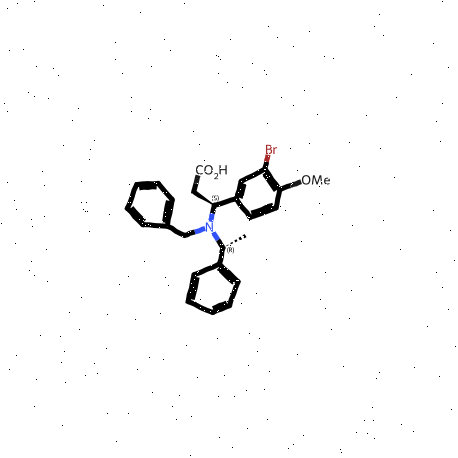 COc1ccc([C@H](CC(=O)O)N(Cc2ccccc2)[C@H](C)c2ccccc2)cc1Br